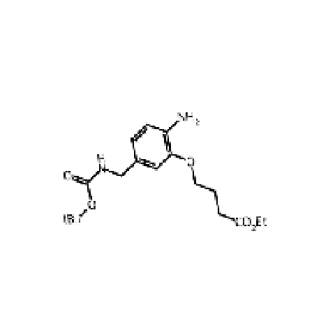 CCOC(=O)CCCOc1cc(CNC(=O)OC(C)(C)C)ccc1N